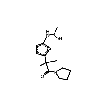 CB(O)Nc1ccc(C(C)(C)C(=O)N2CCCC2)s1